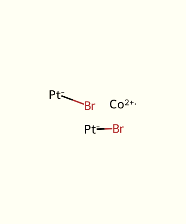 [Br][Pt-].[Br][Pt-].[Co+2]